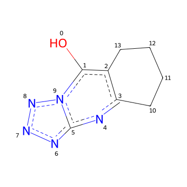 Oc1c2c(nc3nnnn13)CCCC2